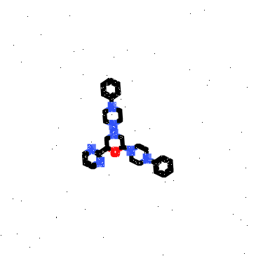 c1ccc(N2CCN(C3CN(N4CCN(c5ccccc5)CC4)CC(c4ncccn4)O3)CC2)cc1